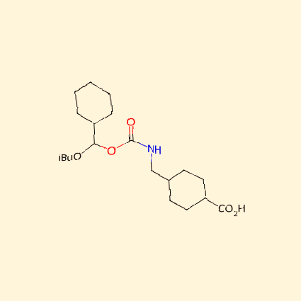 CC(C)COC(OC(=O)NCC1CCC(C(=O)O)CC1)C1CCCCC1